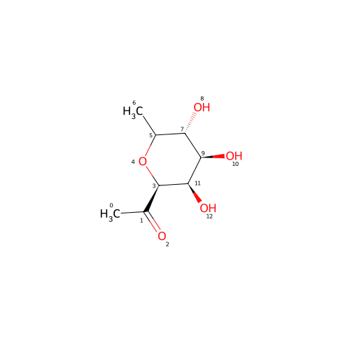 CC(=O)[C@H]1OC(C)[C@H](O)[C@@H](O)[C@H]1O